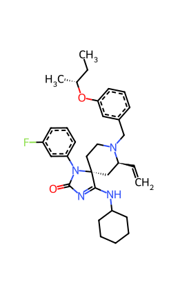 C=C[C@H]1C[C@]2(CCN1Cc1cccc(O[C@H](C)CC)c1)C(NC1CCCCC1)=NC(=O)N2c1cccc(F)c1